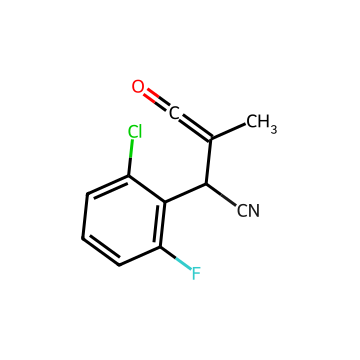 CC(=C=O)C(C#N)c1c(F)cccc1Cl